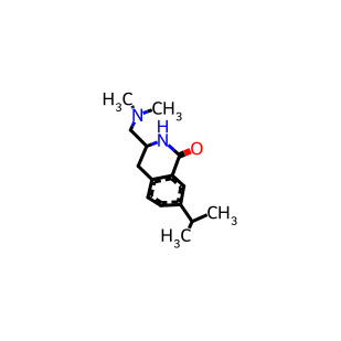 CC(C)c1ccc2c(c1)C(=O)NC(CN(C)C)C2